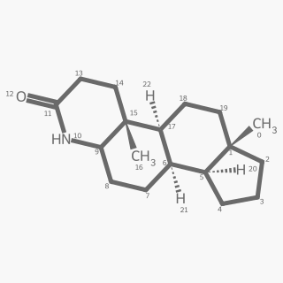 C[C@@]12CCC[C@H]1[C@H]1CCC3NC(=O)CC[C@]3(C)[C@H]1CC2